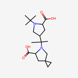 CC(C)(C)N1CC(C(C)(C)N2CC3(CC3)CC2C(=O)O)CC1C(=O)O